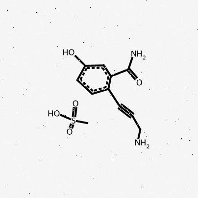 CS(=O)(=O)O.NCC#Cc1ccc(O)cc1C(N)=O